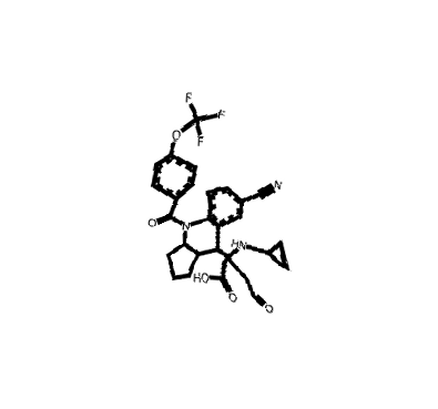 N#Cc1ccc2c(c1)C(C(CC=O)(NC1CC1)C(=O)O)C1CCCC1N2C(=O)c1ccc(OC(F)(F)F)cc1